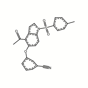 CC(=O)c1c(Oc2cccc(C#N)c2)ccc2c1ccn2S(=O)(=O)c1ccc(C)cc1